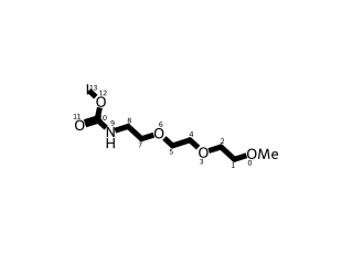 COCCOCCOCCNC(=O)OI